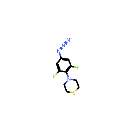 [N-]=[N+]=Nc1cc(F)c(N2CCSCC2)c(F)c1